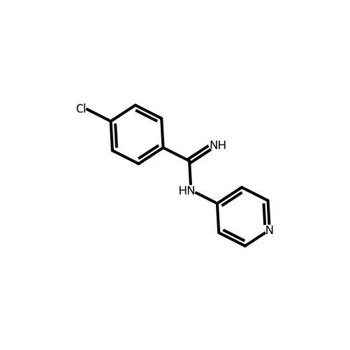 N=C(Nc1ccncc1)c1ccc(Cl)cc1